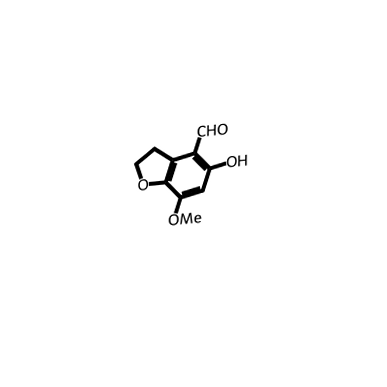 COc1cc(O)c(C=O)c2c1OCC2